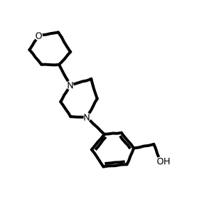 OCc1cccc(N2CCN(C3CCOCC3)CC2)c1